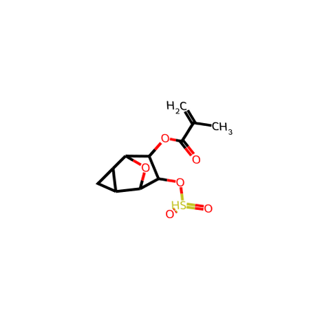 C=C(C)C(=O)OC1C2OC(C3CC32)C1O[SH](=O)=O